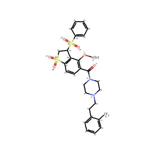 CCCCCCCCOc1c(C(=O)N2CCN(CCc3ccccc3C(F)(F)F)CC2)ccc2c1C(S(=O)(=O)c1ccccc1)CS2(=O)=O